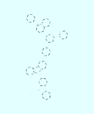 CC1(C)c2ccccc2-c2ccc(-n3c4ccc(-c5ccc(-c6cc(-c7ccccn7)nc(-c7ccc(-c8ccccc8)c8ccccc78)c6)cc5)cc4c4cccnc43)cc21